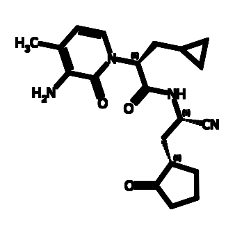 Cc1ccn([C@@H](CC2CC2)C(=O)N[C@H](C#N)C[C@@H]2CCCC2=O)c(=O)c1N